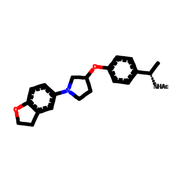 CC(=O)N[C@@H](C)c1ccc(OC2CCN(c3ccc4c(c3)CCO4)C2)cc1